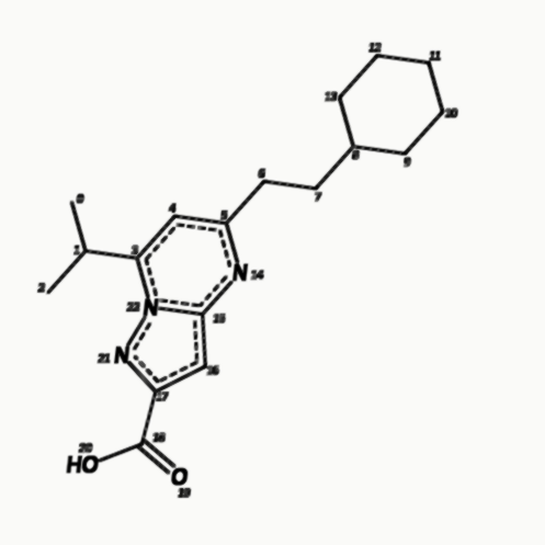 CC(C)c1cc(CCC2CCCCC2)nc2cc(C(=O)O)nn12